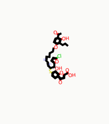 CCCc1c(OCCCC/C=C\C=C\[C@H](Sc2ccc3c(=O)cc(C(=O)O)oc3c2)[C@H](O)c2ccc(Cl)o2)ccc(C(C)=O)c1O